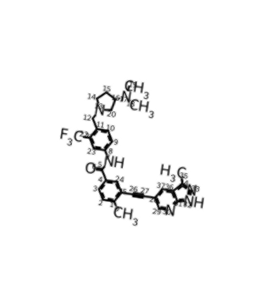 Cc1ccc(C(=O)Nc2ccc(CN3CC[C@H](N(C)C)C3)c(C(F)(F)F)c2)cc1C#Cc1cnc2[nH]nc(C)c2c1